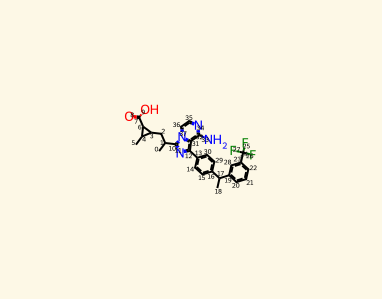 CC(CC1C(C)C1C(=O)O)c1nc(-c2ccc(C(C)c3cccc(C(F)(F)F)c3)cc2)c2c(N)nccn12